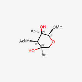 CO[C@H]1OC[C@](O)(C(C)=O)[C@@H](NC(C)=O)[C@]1(O)C(C)=O